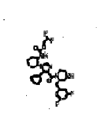 O=C(N[C@H]1CCCC[C@@H]1n1cnc(C(=O)N2CCNC[C@H]2Cc2cc(F)cc(F)c2)c1-c1ccccc1)OCC(F)F